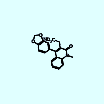 Cn1c(=O)c(CC(=O)O)c(-c2ccc3c(c2)OCO3)c2ccccc21